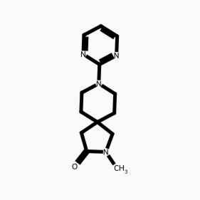 CN1CC2(CCN(c3ncccn3)CC2)CC1=O